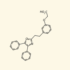 O=C(O)COc1cccc(CCc2nc(-c3ccccc3)c(-c3ccccc3)o2)c1